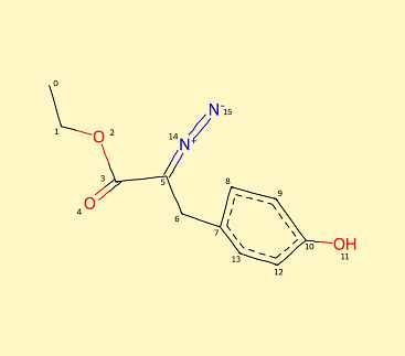 CCOC(=O)C(Cc1ccc(O)cc1)=[N+]=[N-]